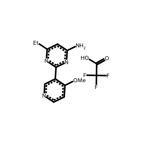 CCc1cc(N)nc(-c2cnccc2OC)n1.O=C(O)C(F)(F)F